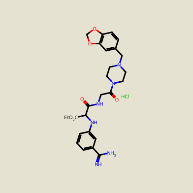 CCOC(=O)C(Nc1cccc(C(=N)N)c1)C(=O)NCC(=O)N1CCN(Cc2ccc3c(c2)OCO3)CC1.Cl